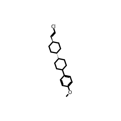 COc1ccc(C2CCC([C@H]3CC[C@H](/C=C/Cl)CC3)CC2)cc1